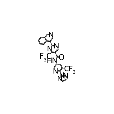 O=C(Nc1cnc(-n2nccn2)c(C(F)(F)F)c1)c1cnc(-c2cncc3ccccc23)nc1C(F)(F)F